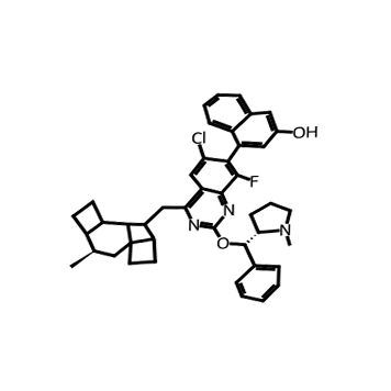 C[C@@H]1CC23CCC2C(Cc2nc(OC(c4ccccc4)[C@@H]4CCCN4C)nc4c(F)c(-c5cc(O)cc6ccccc56)c(Cl)cc24)C3C2CCC21